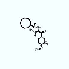 CC(C)O[C@H]1CCN(C(=O)C2NNC(C)(C3CCCCCCCC3)N2)C[C@H]1F